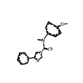 COc1ccc(N(C)C(=O)n2cnc(-c3ccccc3)c2)cc1